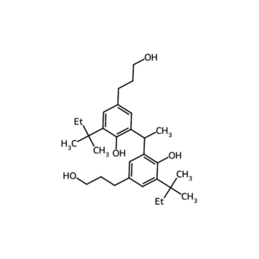 CCC(C)(C)c1cc(CCCO)cc(C(C)c2cc(CCCO)cc(C(C)(C)CC)c2O)c1O